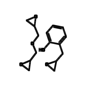 C(OCC1CO1)C1CO1.Oc1ccccc1CC1CO1